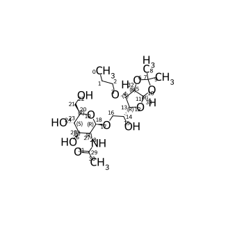 CCCO[C@@H]1[C@H]2OC(C)(C)O[C@H]2O[C@@H]1C(O)CO[C@@H]1O[C@H](CO)[C@@H](O)[C@H](O)[C@H]1NC(C)=O